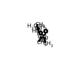 CCOC(=O)C(C(=O)OCC)C(Cc1ccccc1)c1ccc(NC(=O)OC(C)(C)C)nc1